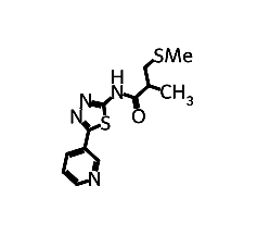 CSCC(C)C(=O)Nc1nnc(-c2cccnc2)s1